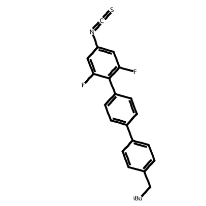 CCC(C)Cc1ccc(-c2ccc(-c3c(F)cc(N=C=S)cc3F)cc2)cc1